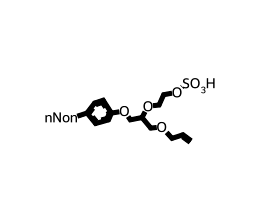 C=CCOCC(COc1ccc(CCCCCCCCC)cc1)OCCOS(=O)(=O)O